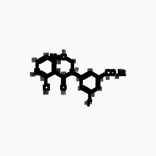 CCOC(=O)c1cc(F)cc(N(COC)C(=O)c2cccnc2Cl)c1